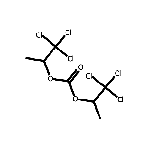 CC(OC(=O)OC(C)C(Cl)(Cl)Cl)C(Cl)(Cl)Cl